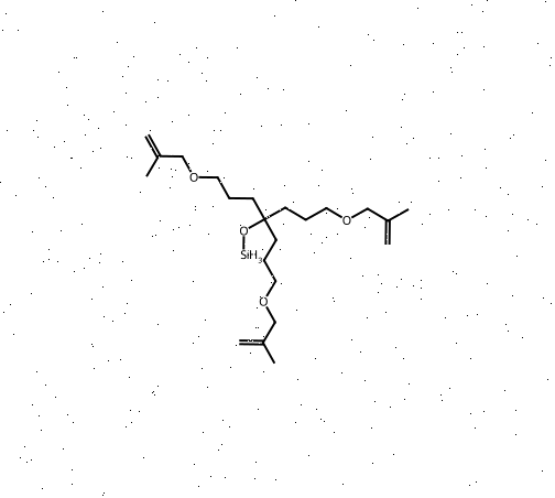 C=C(C)COCCCC(CCCOCC(=C)C)(CCCOCC(=C)C)O[SiH3]